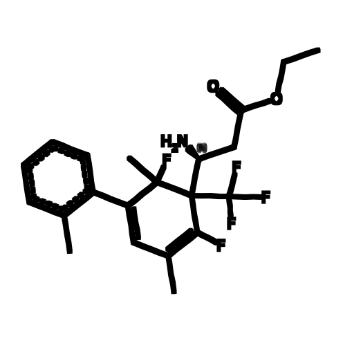 CCOC(=O)C[C@H](N)C1(C(F)(F)F)C(F)=C(C)C=C(c2ccccc2C)C1(C)F